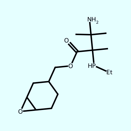 CCPC(C)(C(=O)OCC1CCC2OC2C1)C(C)(C)N